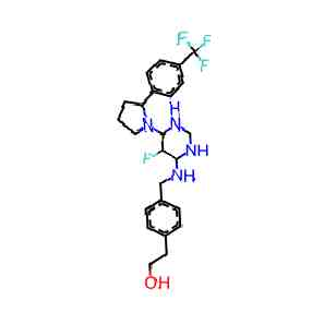 OCCc1ccc(CNC2NCNC(N3CCCC3c3ccc(C(F)(F)F)cc3)C2F)cc1